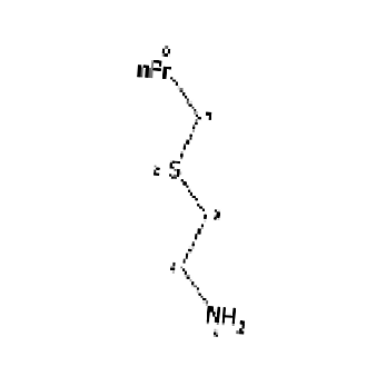 CCCCSCCN